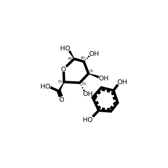 O=C(O)[C@H]1O[C@@H](O)[C@H](O)[C@@H](O)[C@@H]1O.Oc1ccc(O)cc1